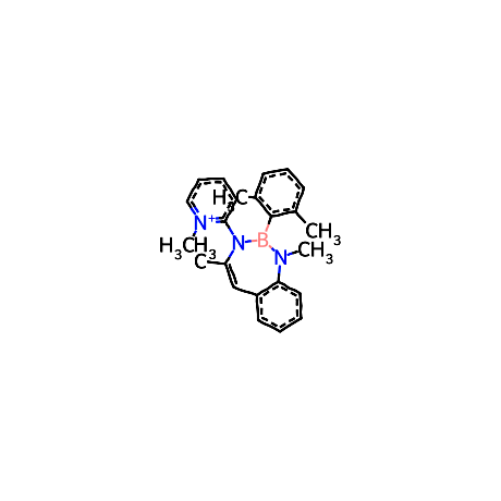 CC1=Cc2ccccc2N(C)B(c2c(C)cccc2C)N1c1cccc[n+]1C